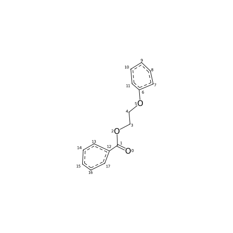 O=C(OCCOc1ccccc1)c1ccccc1